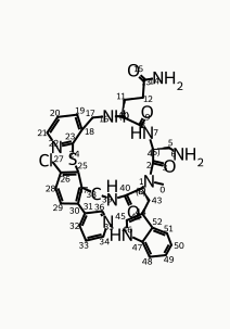 CN1C(=O)[C@H](CN)NC(=O)[C@H](CCC(N)=O)NCc2cccnc2Sc2c(Cl)ccc(-c3cccnc3)c2CNC(=O)[C@@H]1Cc1c[nH]c2ccccc12